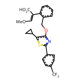 COC=C(C(=O)O)c1ccccc1COc1nc(-c2ccc(C(F)(F)F)cc2)sc1C1CC1